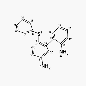 Nc1ccc(Sc2ccccc2)c(-c2ccccc2N)c1